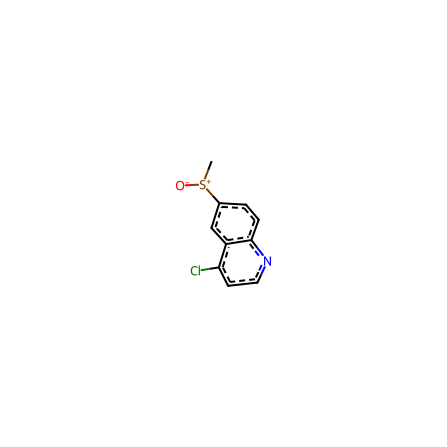 C[S+]([O-])c1ccc2nccc(Cl)c2c1